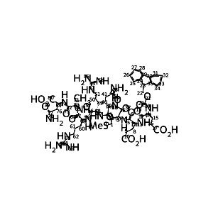 CSCC[C@H](NC(=O)[C@H](CCC(=O)O)NC(=O)[C@H](CCC(=O)O)NC(=O)OCC1c2ccccc2-c2ccccc21)C(=O)N[C@@H](CCC(N)=O)C(=O)N[C@@H](CCCNC(=N)N)C(=O)N[C@@H](CCCNC(=N)N)C(=O)N[C@@H](C)C(=O)N[C@@H](CC(N)=O)C(=O)O